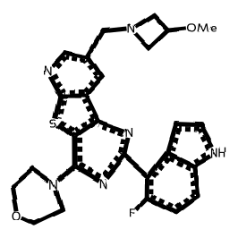 COC1CN(Cc2cnc3sc4c(N5CCOCC5)nc(-c5c(F)ccc6[nH]ccc56)nc4c3c2)C1